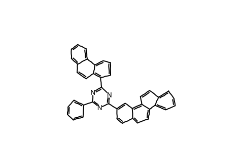 c1ccc(-c2nc(-c3ccc4ccc5c6ccccc6ccc5c4c3)nc(-c3cccc4c3ccc3ccccc34)n2)cc1